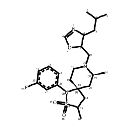 CC(C)CC1N=COC1CN1CC[C@]2(CC(C)S(=O)(=O)N2c2cccc(F)c2)C[C@@H]1C